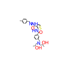 Cc1ccc(C=NNC(=O)c2ccsc2NC(=O)c2cccc(CN(CC(C)O)CC(C)O)c2)cc1